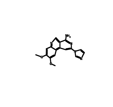 COc1cc2ncc3c(N)nc(-n4ccnc4)cc3c2cc1OC